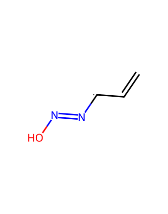 C=C[CH]N=NO